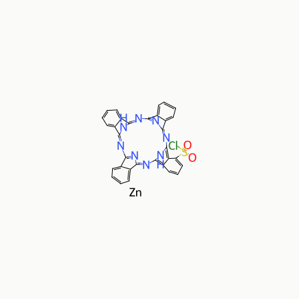 O=S(=O)(Cl)c1cccc2c3nc4nc(nc5[nH]c(nc6nc(nc([nH]3)c12)-c1ccccc1-6)c1ccccc51)-c1ccccc1-4.[Zn]